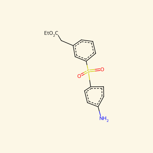 CCOC(=O)Cc1cccc(S(=O)(=O)c2ccc(N)cc2)c1